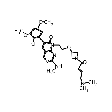 CNc1ncc2cc(-c3cc(OC)cc(OC)c3Cl)c(=O)n(CCOC3CN(C(=O)/C=C/CN(C)C)C3)c2n1